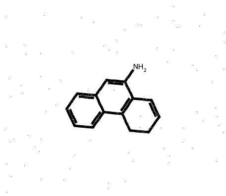 Nc1cc2ccccc2c2c1C=CCC2